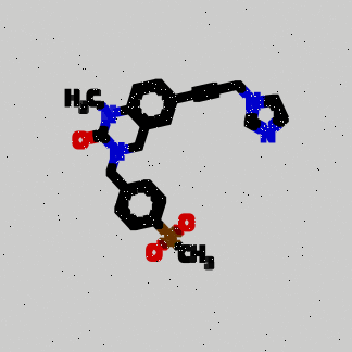 CN1C(=O)N(Cc2ccc(S(C)(=O)=O)cc2)Cc2cc(C#CCn3ccnc3)ccc21